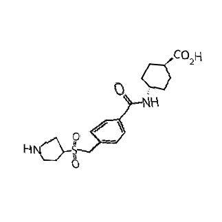 O=C(N[C@H]1CC[C@H](C(=O)O)CC1)c1ccc(CS(=O)(=O)C2CCNCC2)cc1